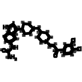 NC(=O)Nc1ccc2[nH]cc(C3CCN(CC4CCN(/C=C/C(=O)c5ccc(Cl)c(Cl)c5)CC4)CC3)c2c1